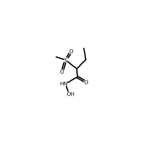 CCC(C(=O)NO)S(C)(=O)=O